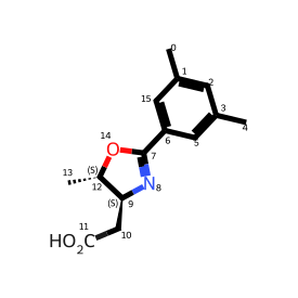 Cc1cc(C)cc(C2=N[C@@H](CC(=O)O)[C@H](C)O2)c1